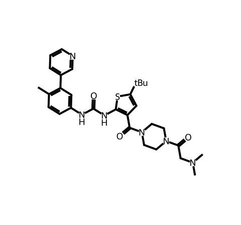 Cc1ccc(NC(=O)Nc2sc(C(C)(C)C)cc2C(=O)N2CCN(C(=O)CN(C)C)CC2)cc1-c1cccnc1